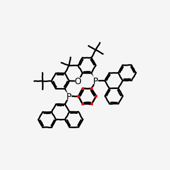 CC(C)(C)c1cc([P@@](c2ccccc2)c2cc3ccccc3c3ccccc23)c2c(c1)C(C)(C)c1cc(C(C)(C)C)cc([P@@](c3ccccc3)c3cc4ccccc4c4ccccc34)c1O2